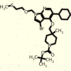 CSCCOCn1cc(Br)c2c(OCC3(C)CCN(C(=O)OC(C)(C)C)CC3)c(C3CCCCC3)cnc21